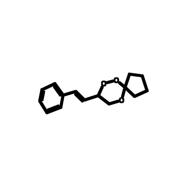 C(=CC1COC2(CCCC2)OO1)c1ccccc1